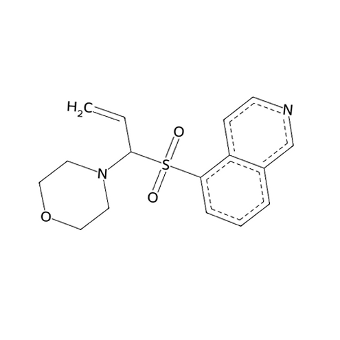 C=CC(N1CCOCC1)S(=O)(=O)c1cccc2cnccc12